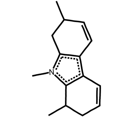 CC1C=Cc2c3c(n(C)c2C1)C(C)CC=C3